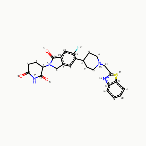 O=C1CCC(N2Cc3cc(C4CCN(Cc5nc6ccccc6s5)CC4)c(F)cc3C2=O)C(=O)N1